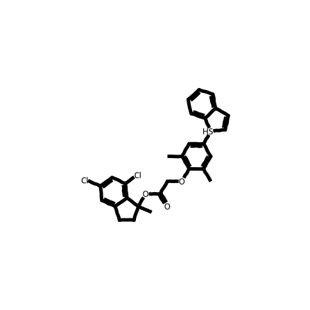 Cc1cc([SH]2C=Cc3ccccc32)cc(C)c1OCC(=O)OC1(C)CCc2cc(Cl)cc(Cl)c21